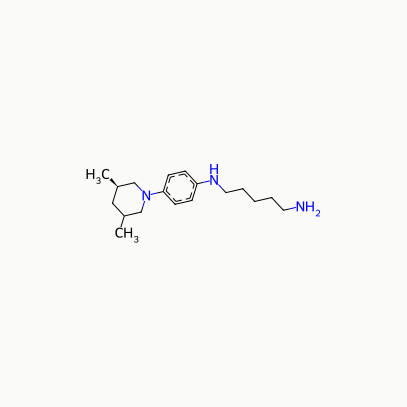 CC1C[C@@H](C)CN(c2ccc(NCCCCCN)cc2)C1